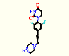 O=C1CCN(c2c(F)cc(C#CCN3CCNCC3)cc2F)C(=O)N1